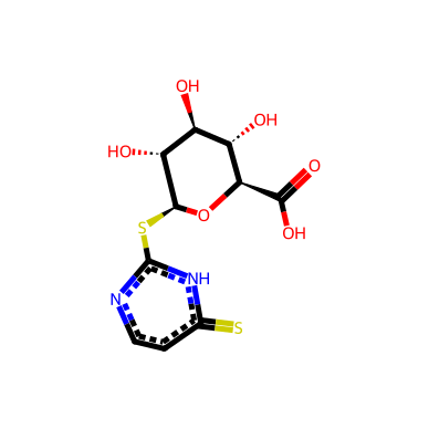 O=C(O)[C@H]1O[C@@H](Sc2nccc(=S)[nH]2)[C@H](O)[C@@H](O)[C@@H]1O